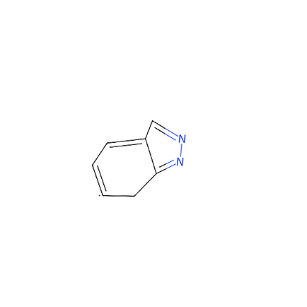 [C]1=CC=C2C=NN=C2C1